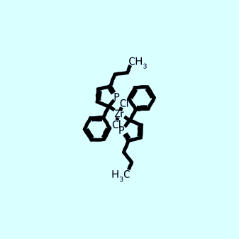 CCCC1=P[C](c2ccccc2)([Zr]([Cl])([Cl])[C]2(c3ccccc3)C=CC(CCC)=P2)C=C1